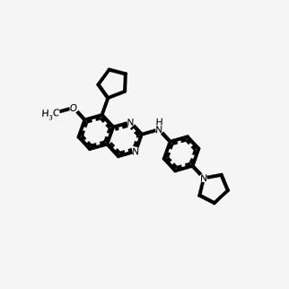 COc1ccc2cnc(Nc3ccc(N4CCCC4)cc3)nc2c1C1CCCC1